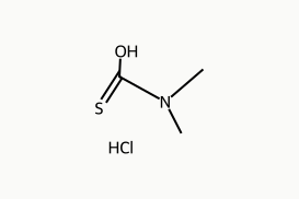 CN(C)C(O)=S.Cl